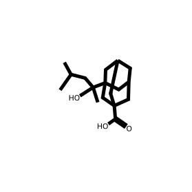 CC(C)CC(C)(O)C12CC3CC(CC(C(=O)O)(C3)C1)C2